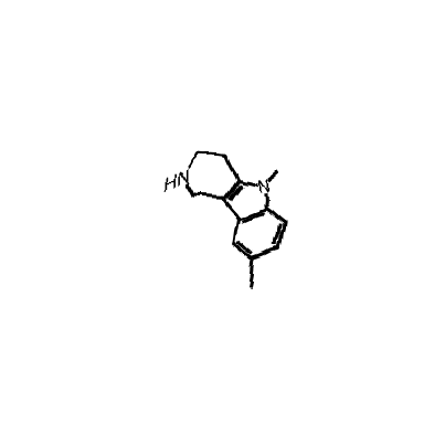 Cc1ccc2c(c1)c1c(n2C)CCNC1